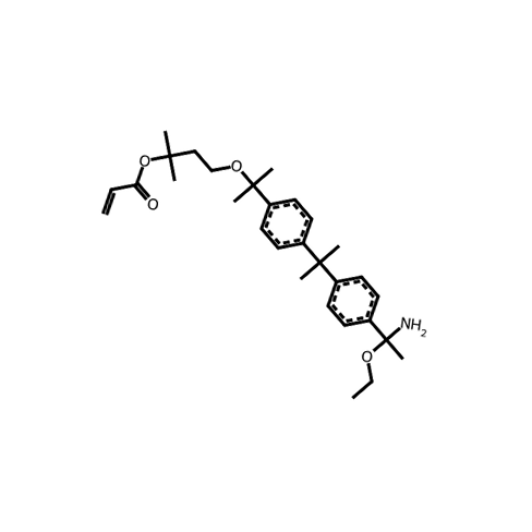 C=CC(=O)OC(C)(C)CCOC(C)(C)c1ccc(C(C)(C)c2ccc(C(C)(N)OCC)cc2)cc1